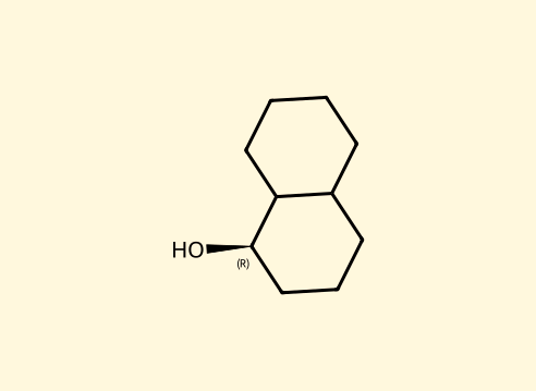 O[C@@H]1CCCC2CCCCC21